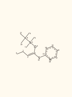 CCC=C(O[Si](C)(C)C(C)(C)C)Sc1ccccn1